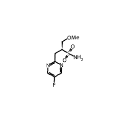 COC[C@H](Cc1ncc(F)cn1)S(N)(=O)=O